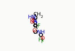 C=C1CCC(N2Cc3c(ccc(C[C@H]4OCCC[C@@H]4N[C@H]4CC[C@H](OC(F)F)CC4)c3F)C2=O)C(=O)N1